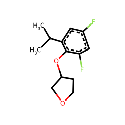 CC(C)c1cc(F)cc(F)c1OC1CCOC1